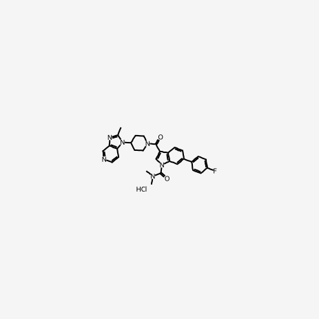 Cc1nc2cnccc2n1C1CCN(C(=O)c2cn(C(=O)N(C)C)c3cc(-c4ccc(F)cc4)ccc23)CC1.Cl